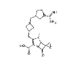 CC1C(SC2CN(CC3CCN(C(=N)N)C3)C2)=C(C(=O)O)N2C(=O)C3(CO3)C12